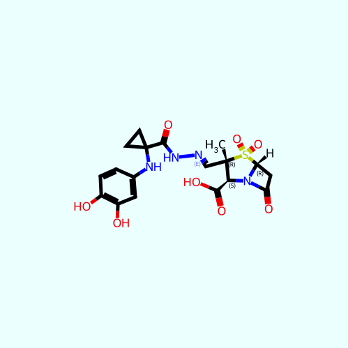 C[C@]1(/C=N/NC(=O)C2(Nc3ccc(O)c(O)c3)CC2)[C@H](C(=O)O)N2C(=O)C[C@H]2S1(=O)=O